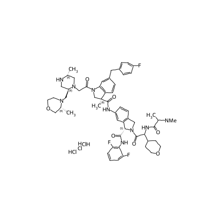 CNC(C)C(=O)NC(C(=O)N1Cc2ccc(NC(=O)[C@@]3(C)CN(C(=O)CN4C[C@@H](C)NC[C@@H]4CN4CCOC[C@H]4C)c4cc(Cc5ccc(F)cc5)ccc43)cc2[C@H]1C(=O)Nc1c(F)cccc1F)C1CCOCC1.Cl.Cl.Cl